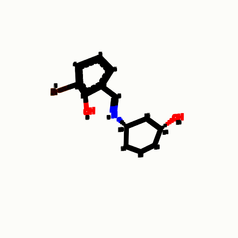 Oc1c(Br)cccc1C=N[C@H]1CCC[C@@H](O)C1